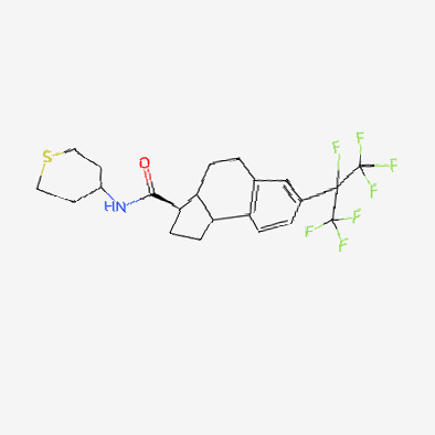 O=C(NC1CCSCC1)[C@@H]1CCC2c3ccc(C(F)(C(F)(F)F)C(F)(F)F)cc3CCC21